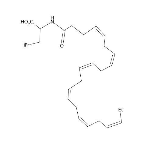 CC/C=C\C/C=C\C/C=C\C/C=C\C/C=C\C/C=C\CCC(=O)NC(CC(C)C)C(=O)O